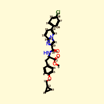 COC(=O)C(Cc1ccc(OCC2CC2)cc1)NC(=O)c1cn2cc(-c3ccc(Cl)cc3)ccc2n1